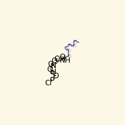 CC/C=C\C/C=C\C/C=C\C/C=C\C/C=C\C/C=C\CCC(=O)NCCC(CCNC(=O)C(C)(C)Oc1ccc(C(=O)c2ccc(Cl)cc2)cc1)C(=O)O